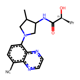 CC1CN(c2ccc(C#N)c3nccnc23)CC1NC(=O)[C@@H](O)C(C)C